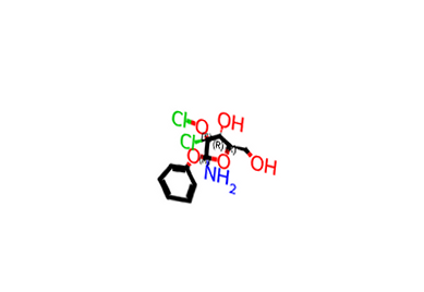 N[C@@]1(Oc2ccccc2)O[C@H](CO)[C@@H](O)[C@@]1(Cl)OCl